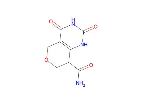 NC(=O)C1COCc2c1[nH]c(=O)[nH]c2=O